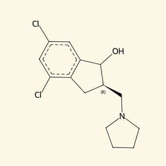 OC1c2cc(Cl)cc(Cl)c2C[C@@H]1CN1CCCC1